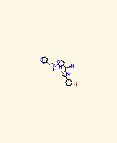 COc1cccc(C2=CS/C(=C(/C#N)c3ccnc(NCCc4cccnc4)n3)N2)c1